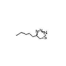 CCCCCC1=NN=NSC1